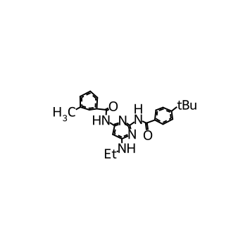 CCNc1cc(NC(=O)c2cccc(C)c2)nc(NC(=O)c2ccc(C(C)(C)C)cc2)n1